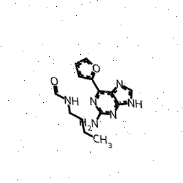 CCCCNC=O.Nc1nc(-c2ccco2)c2nc[nH]c2n1